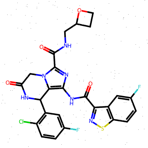 O=C1Cn2c(C(=O)NCC3CCO3)nc(NC(=O)c3nsc4ccc(F)cc34)c2C(c2cc(F)ccc2Cl)N1